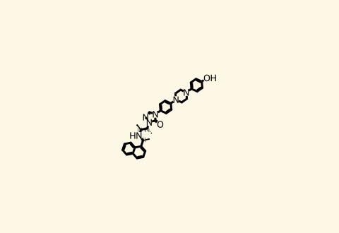 C[C@H](N[C@@H](C)[C@@H](C)n1ncn(-c2ccc(N3CCN(c4ccc(O)cc4)CC3)cc2)c1=O)c1cccc2ccccc12